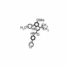 COc1cc2c(c(N3CCN(C)CC3)c1)NC(C(=O)Nc1ccc(N3CCOCC3)cc1)=CC2N(C)C